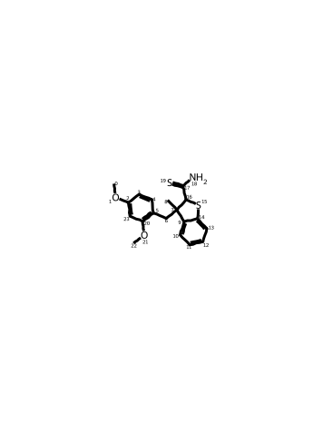 COc1ccc(CC2(C)c3ccccc3SC2C(N)=S)c(OC)c1